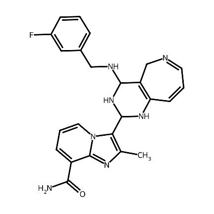 Cc1nc2c(C(N)=O)cccn2c1C1NC2=C(CN=CC=C2)C(NCc2cccc(F)c2)N1